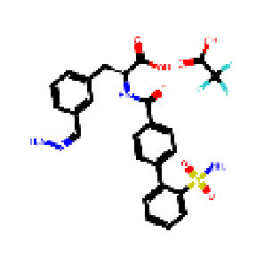 N/N=C\c1cccc(C[C@H](NC(=O)c2ccc(-c3ccccc3S(N)(=O)=O)cc2)C(=O)O)c1.O=C(O)C(F)(F)F